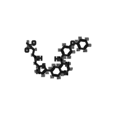 CS(=O)(=O)CCNCc1ncc(-c2ccc3ncnc(Nc4ccc(Oc5ccccc5)cc4)c3c2)s1